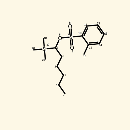 CCCCCC(OS(=O)(=O)c1ccccc1C)[Si](C)(C)C